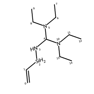 C=C[SiH2]NC(N(CC)CC)N(CC)CC